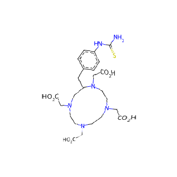 NC(=S)Nc1ccc(CC2CN(CC(=O)O)CCN(CC(=O)O)CCN(CC(=O)O)CCN2CC(=O)O)cc1